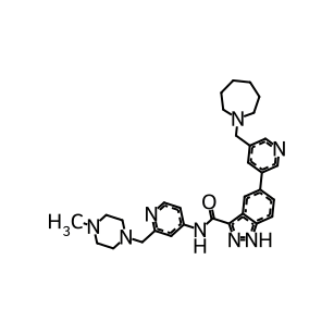 CN1CCN(Cc2cc(NC(=O)c3n[nH]c4ccc(-c5cncc(CN6CCCCCC6)c5)cc34)ccn2)CC1